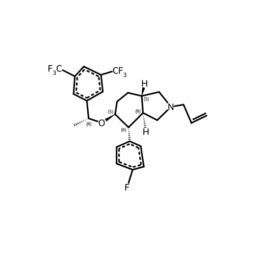 C=CCN1C[C@H]2CC[C@H](O[C@H](C)c3cc(C(F)(F)F)cc(C(F)(F)F)c3)[C@@H](c3ccc(F)cc3)[C@@H]2C1